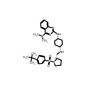 CN(C)c1nc(N[C@H]2CC[C@@H](NC[C@@H]3CCCN3S(=O)(=O)c3ccc(C(C)(C)C)cc3)CC2)nc2ccccc12